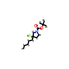 CCCCCC1(F)CCN(C(=O)OC(C)(C)C)C1